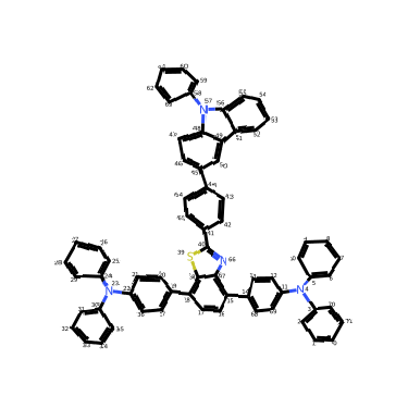 c1ccc(N(c2ccccc2)c2ccc(-c3ccc(-c4ccc(N(c5ccccc5)c5ccccc5)cc4)c4sc(-c5ccc(-c6ccc7c(c6)c6ccccc6n7-c6ccccc6)cc5)nc34)cc2)cc1